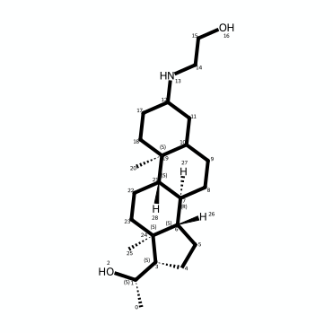 C[C@H](O)[C@H]1CC[C@H]2[C@@H]3CCC4CC(NCCO)CC[C@]4(C)[C@H]3CC[C@]12C